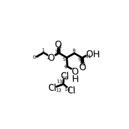 CCOC(=O)C(CO)CC(=O)O.ClC(Cl)Cl